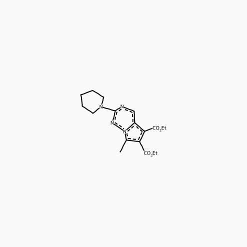 CCOC(=O)c1c(C(=O)OCC)c2cnc(N3CCCCC3)nn2c1C